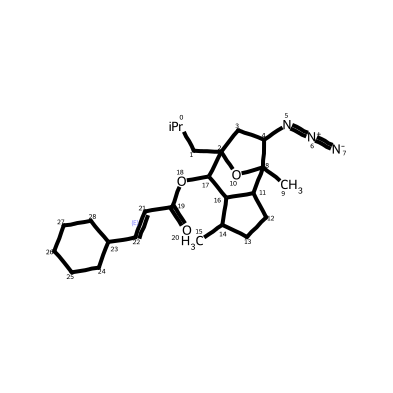 CC(C)CC12CC(N=[N+]=[N-])C(C)(O1)C1CCC(C)C1C2OC(=O)/C=C/C1CCCCC1